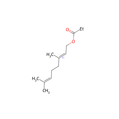 CCC(=O)OC/C=C(\C)CCC=C(C)C